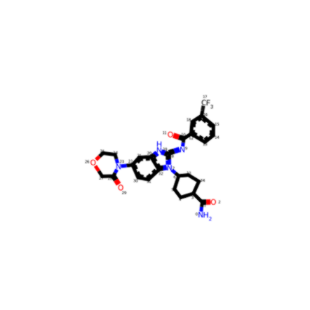 NC(=O)C1CCC(n2/c(=N/C(=O)c3cccc(C(F)(F)F)c3)[nH]c3cc(N4CCOCC4=O)ccc32)CC1